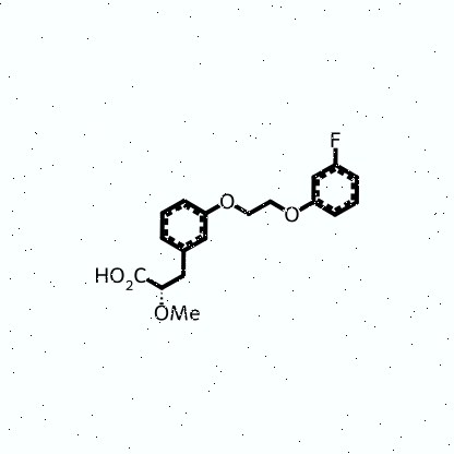 CO[C@@H](Cc1cccc(OCCOc2cccc(F)c2)c1)C(=O)O